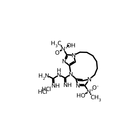 C[N+]([O-])(O)c1nc2cn1CCCCCCn1cc(nc1[N+](C)([O-])O)N2C(=N)NC(=N)N.Cl.Cl